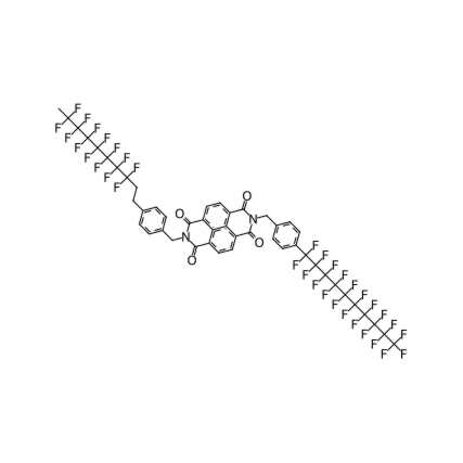 CC(F)(F)C(F)(F)C(F)(F)C(F)(F)C(F)(F)C(F)(F)C(F)(F)CCc1ccc(CN2C(=O)c3ccc4c5c(ccc(c35)C2=O)C(=O)N(Cc2ccc(C(F)(F)C(F)(F)C(F)(F)C(F)(F)C(F)(F)C(F)(F)C(F)(F)C(F)(F)C(F)(F)C(F)(F)F)cc2)C4=O)cc1